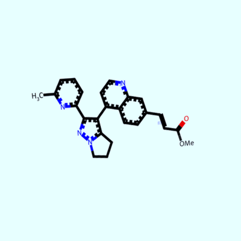 COC(=O)/C=C/c1ccc2c(-c3c(-c4cccc(C)n4)nn4c3CCC4)ccnc2c1